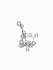 O=C(O)c1nc(-c2ccc3c(c2)N(C(=O)Nc2nc4ccccc4s2)CCO3)ccc1OCCCOc1ccccc1